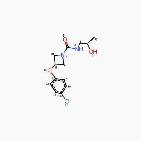 C[C@@H](O)CNC(=O)N1CC(Oc2ccc(Cl)cc2)C1